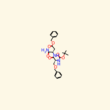 CC(C)(C)OC(=O)N[C@@H](COCc1ccccc1)C(=O)N[C@H](CC(=O)OCc1ccccc1)C(N)=O